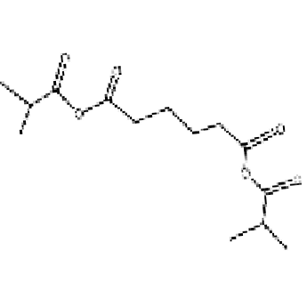 CC(C)C(=O)OC(=O)CCCCC(=O)OC(=O)C(C)C